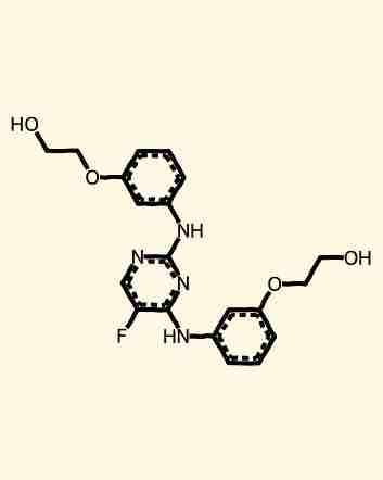 OCCOc1cccc(Nc2ncc(F)c(Nc3cccc(OCCO)c3)n2)c1